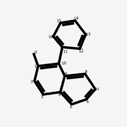 Cc1ccc2ccccc2c1-c1[c]cccc1